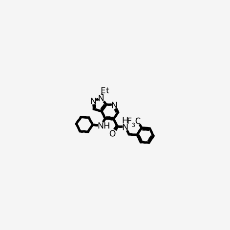 CCn1ncc2c(NC3CCCCC3)c(C(=O)NCc3ccccc3C(F)(F)F)cnc21